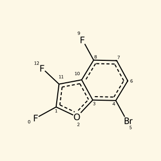 Fc1oc2c(Br)ccc(F)c2c1F